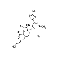 CO/N=C(\C(=O)N[C@@H]1C(=O)N2C(C(=O)[O-])=C(C/C=C/CO)CS[C@H]12)c1csc(N)n1.[Na+]